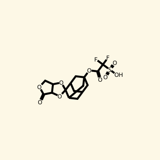 O=C1OCC2OC3(OC12)C1CC2CC3CC(OC(=O)C(F)(F)S(=O)(=O)O)(C2)C1